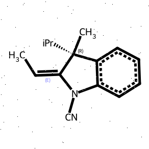 C/C=C1/N(C#N)c2ccccc2[C@@]1(C)C(C)C